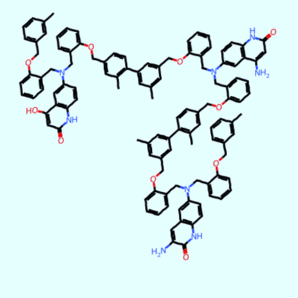 Cc1cccc(COc2ccccc2CN(Cc2ccccc2OCc2cc(C)cc(-c3ccc(COc4ccccc4CN(Cc4ccccc4OCc4cc(C)cc(-c5ccc(COc6ccccc6CN(Cc6ccccc6OCc6cccc(C)c6)c6ccc7[nH]c(=O)cc(O)c7c6)cc5C)c4)c4ccc5[nH]c(=O)cc(N)c5c4)cc3C)c2)c2ccc3[nH]c(=O)c(N)cc3c2)c1